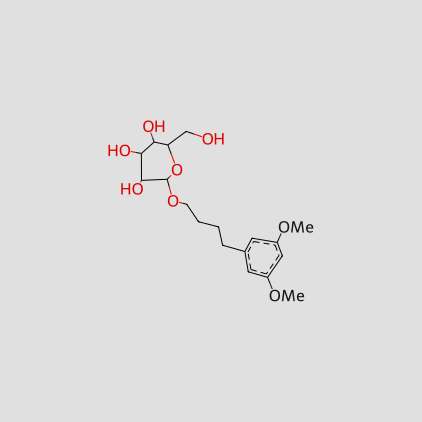 COc1cc(CCCCOC2OC(CO)C(O)C(O)C2O)cc(OC)c1